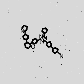 N#Cc1ccc(-c2ccc(-c3nc(-c4ccccc4)nc(-c4ccc5c(c4)oc4cccc(-c6ccc(-c7ccccn7)cc6)c45)n3)cc2)cc1